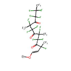 CCOC=CC(F)(C(=O)C(F)(F)C(F)(C(=O)C(F)(F)C(F)(C(=O)C(F)(F)C(F)(F)C(F)(F)F)C(F)(F)F)C(F)(F)F)C(F)(F)F